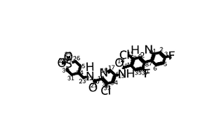 Nc1cc(F)ccc1-c1cc(Cl)c(C(=O)Nc2cnc(C(=O)NCC3CCS(=O)(=O)CC3)c(Cl)c2)cc1F